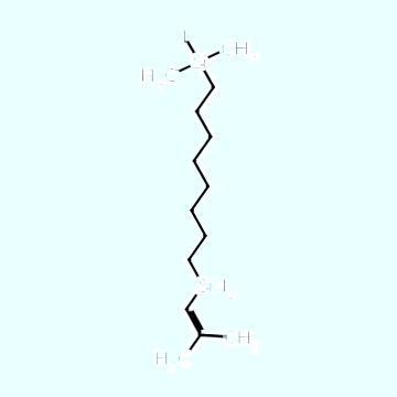 CC(C)=C[SiH2]CCCCCCCC[Si](C)(C)I